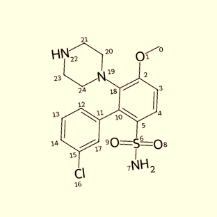 COc1ccc(S(N)(=O)=O)c(-c2cccc(Cl)c2)c1N1CCNCC1